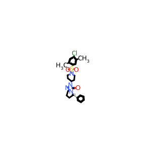 Cc1cc(S(=O)(=O)N2CCC(n3nc4n(c3=O)[C@H](c3ccccc3)CC4)CC2)c(C)cc1Cl